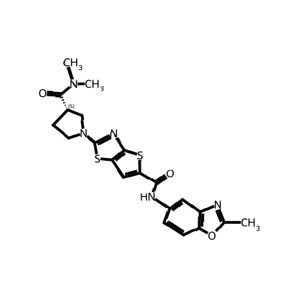 Cc1nc2cc(NC(=O)c3cc4sc(N5CC[C@H](C(=O)N(C)C)C5)nc4s3)ccc2o1